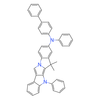 CC1(C)c2cc(N(c3ccccc3)c3ccc(-c4ccccc4)cc3)ccc2-n2cc3c4ccccc4n(-c4ccccc4)c3c21